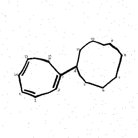 C1=CC=C(C2CCCCCCC2)CC=C1